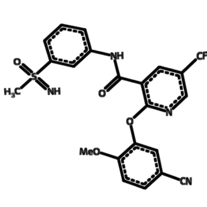 COc1ccc(C#N)cc1Oc1ncc(C(F)(F)F)cc1C(=O)Nc1cccc(S(C)(=N)=O)c1